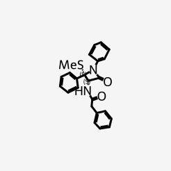 CS[C@@]1(c2ccccc2)[C@@H](NC(=O)Cc2ccccc2)C(=O)N1c1ccccc1